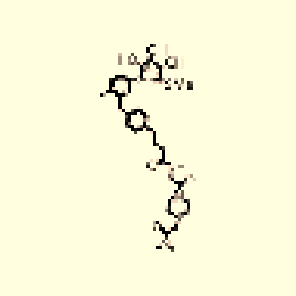 CS[C@H]1O[C@@H](c2ccc(C)c(Cc3ccc(CCCC(=O)NCC(=O)N4CCN(CC(=O)N(C)C)CC4)cc3)c2)[C@H](O)[C@@H](O)[C@@H]1O